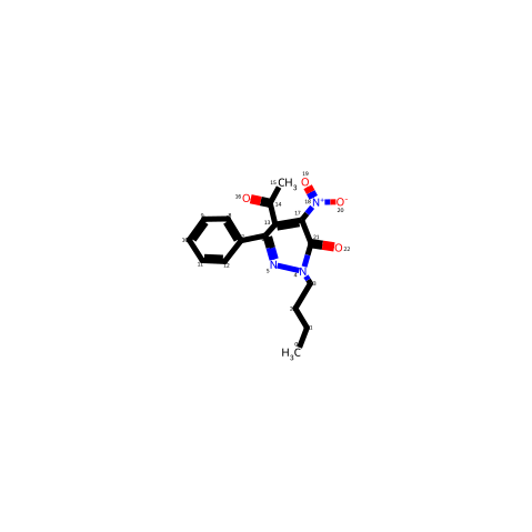 CCCCn1nc(-c2ccccc2)c(C(C)=O)c([N+](=O)[O-])c1=O